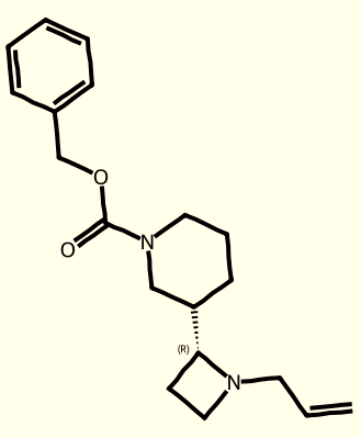 C=CCN1CC[C@@H]1C1CCCN(C(=O)OCc2ccccc2)C1